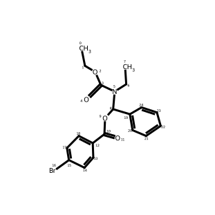 CCOC(=O)N(CC)C(OC(=O)c1ccc(Br)cc1)c1ccccc1